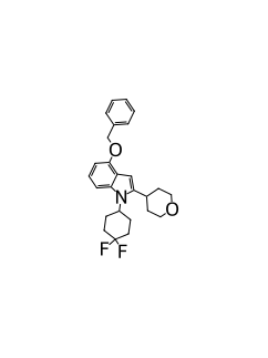 FC1(F)CCC(n2c(C3CCOCC3)cc3c(OCc4ccccc4)cccc32)CC1